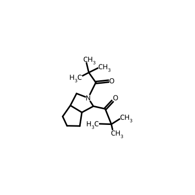 CC(C)(C)C(=O)C1C2CCCC2CN1C(=O)C(C)(C)C